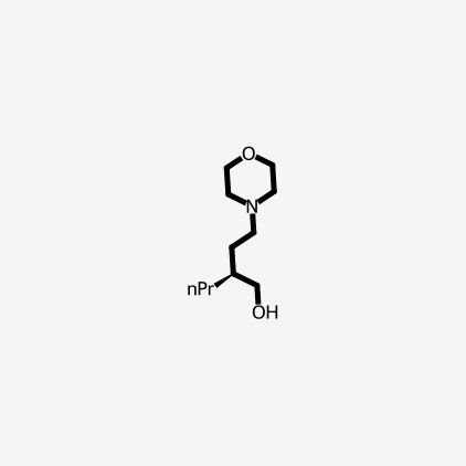 CCC[C@H](CO)CCN1CCOCC1